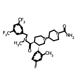 Cc1cc(F)ccc1[C@H]1CN(C2CCN(C(N)=O)CC2)CC[C@@H]1C(=O)N(C)Cc1cc(C(F)(F)F)cc(C(F)(F)F)c1